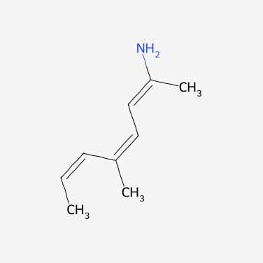 C\C=C/C(C)=C\C=C(/C)N